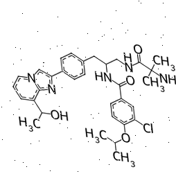 CC(C)Oc1ccc(C(=O)NC(CNC(=O)C(C)(C)N)Cc2ccc(-c3cn4cccc(C(C)O)c4n3)cc2)cc1Cl